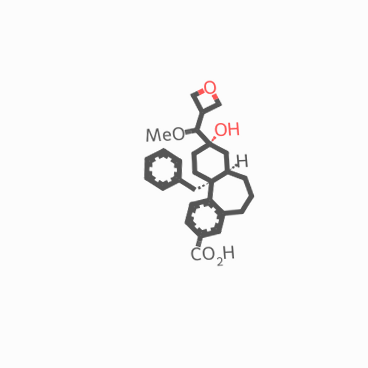 COC(C1COC1)[C@]1(O)CC[C@]2(Cc3ccccc3)c3ccc(C(=O)O)cc3CCC[C@@H]2C1